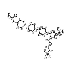 COC(=O)C[C@H]1CC[C@H](c2ccc(-c3ccc(-c4nc(C(F)(F)F)cn4COCC[Si](C)(C)C)cn3)cc2)CC1